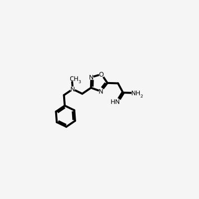 CN(Cc1ccccc1)Cc1noc(CC(=N)N)n1